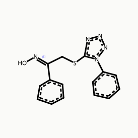 O/N=C(/CSc1nnnn1-c1ccccc1)c1ccccc1